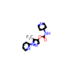 O=C(Nc1ccncc1)Oc1cnn(-c2ccccn2)c1C(F)(F)F